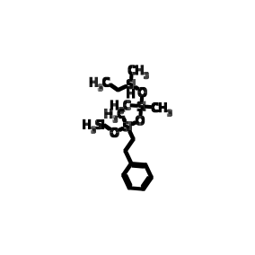 CC[SiH](C)O[Si](C)(C)O[Si](C)(CCc1ccccc1)O[SiH3]